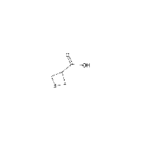 O=C(O)C1CSC1